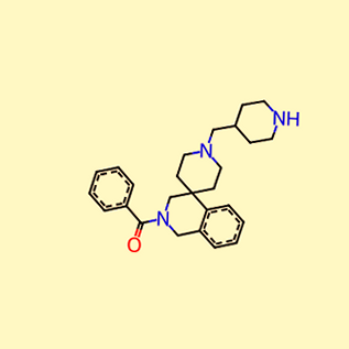 O=C(c1ccccc1)N1Cc2ccccc2C2(CCN(CC3CCNCC3)CC2)C1